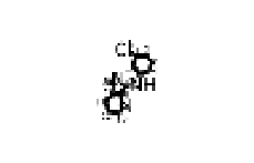 Clc1cccc(Nc2noc3cccnc23)c1